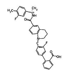 Cc1ccc([C@H](C)NC(=O)c2ccc3c(c2)CCCN3Cc2ccc(-c3ccccc3C(=O)O)cc2F)cc1F